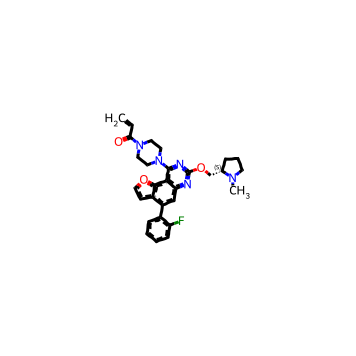 C=CC(=O)N1CCN(c2nc(OC[C@@H]3CCCN3C)nc3cc(-c4ccccc4F)c4ccoc4c23)CC1